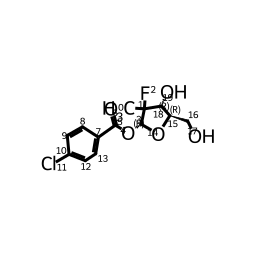 CC1(F)[C@@H](OC(=O)c2ccc(Cl)cc2)O[C@H](CO)[C@H]1O